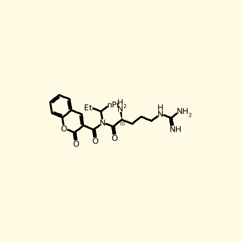 CCCC(CC)N(C(=O)c1cc2ccccc2oc1=O)C(=O)[C@@H](N)CCCNC(=N)N